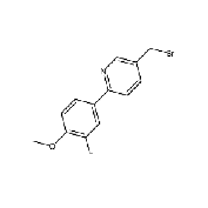 COc1ccc(-c2ccc(CBr)cn2)cc1F